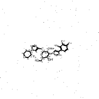 CO[C@@H]1[C@@H](n2cc(-c3ccc(F)c(F)c3F)nn2)[C@@H](O)[C@@H](CO)O[C@@H]1Cc1cn([C@@H]2CCOC[C@H]2F)nn1